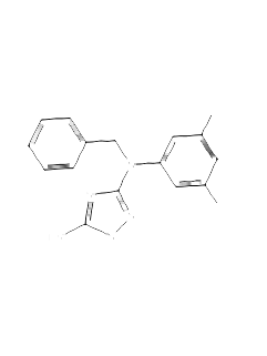 Cc1cc(C)cc(N(Cc2ccccc2)c2n[nH]c(N)n2)c1